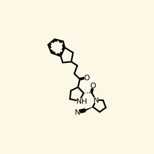 N#C[C@@H]1CCCN1C(=O)[C@@H]1NCCC1C(=O)CCC1Cc2ccccc2C1